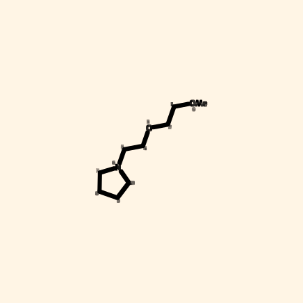 COCCOCCN1CCCC1